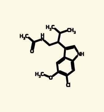 COc1cc2c(C(CNC(C)=O)C(C)C)c[nH]c2cc1Cl